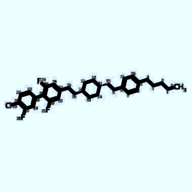 CCCCCc1ccc(CC[C@H]2CC[C@H](CCc3cc(F)c(-c4ccc(Cl)c(F)c4)c(F)c3)CC2)cc1